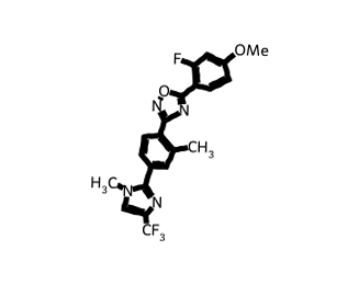 COc1ccc(-c2nc(-c3ccc(-c4nc(C(F)(F)F)cn4C)cc3C)no2)c(F)c1